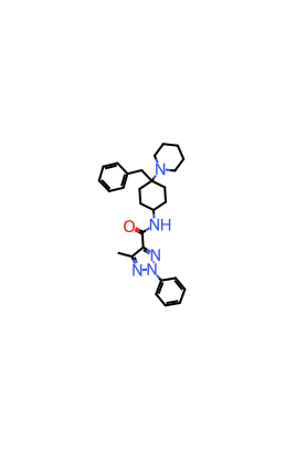 Cc1nn(-c2ccccc2)nc1C(=O)NC1CCC(Cc2ccccc2)(N2CCCCC2)CC1